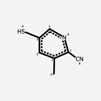 Cc1cc(S)cnc1C#N